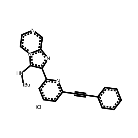 CC(C)(C)Nc1c(-c2cccc(C#Cc3ccccc3)n2)nc2cnccn12.Cl